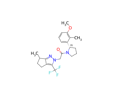 COc1cccc([C@@H]2CCCN2C(=O)Cn2nc3c(c2C(F)(F)F)CCC3C)c1C